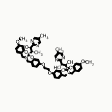 COc1ccc(CN(Cc2ccc(OCCOc3ccc(CN(Cc4ccc(OC)cc4)S(=O)(=O)[C@@H](C)[C@H](O)c4ncc(C)cn4)cc3)cc2)S(=O)(=O)[C@H](C)[C@@H](O)c2ncc(C)cn2)cc1